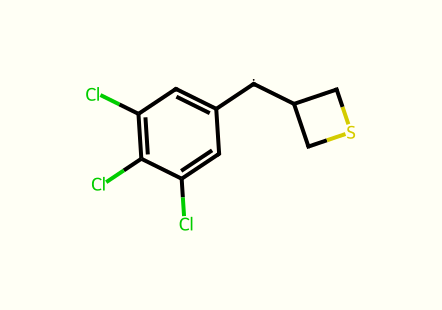 Clc1cc([CH]C2CSC2)cc(Cl)c1Cl